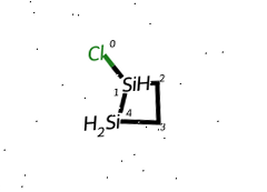 Cl[SiH]1CC[SiH2]1